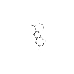 O=C1NCCn2c1cc1cc(O)cnc12